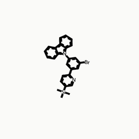 C[Si](C)(C)c1ccc(-c2cc(Br)cc(-n3c4ccccc4c4ccccc43)c2)nc1